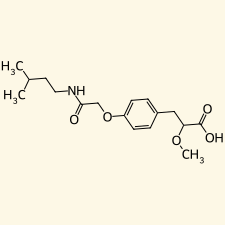 COC(Cc1ccc(OCC(=O)NCCC(C)C)cc1)C(=O)O